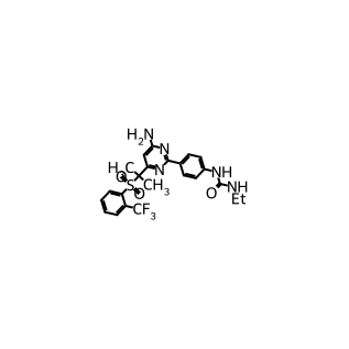 CCNC(=O)Nc1ccc(-c2nc(N)cc(C(C)(C)S(=O)(=O)c3ccccc3C(F)(F)F)n2)cc1